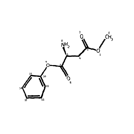 COC(=O)C[C@H](N)C(=O)Oc1ccccc1